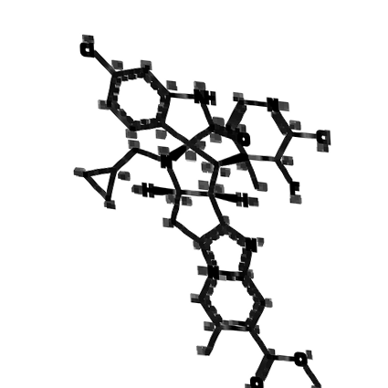 COC(=O)c1cc2nc3c(n2cc1C)C[C@H]1[C@@H]3[C@H](C2(C)C=CN=C(Cl)C2F)[C@]2(C(=O)Nc3cc(Cl)ccc32)N1CC1CC1